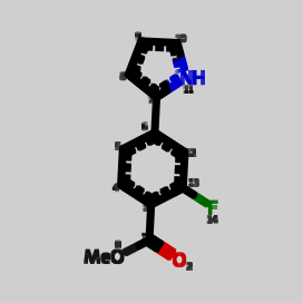 COC(=O)c1ccc(-c2ccc[nH]2)cc1F